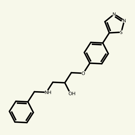 OC(CNCc1ccccc1)COc1ccc(-c2cnns2)cc1